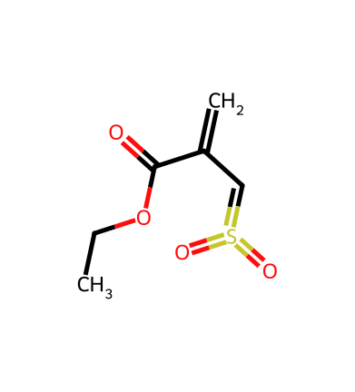 C=C(C=S(=O)=O)C(=O)OCC